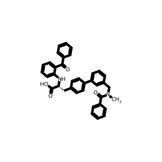 CN(Cc1cccc(-c2ccc(C[C@@H](Nc3ccccc3C(=O)c3ccccc3)C(=O)O)cc2)c1)C(=O)c1ccccc1